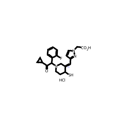 Cl.O=C(O)Cn1ccc(/C=C2\CN(C(C(=O)C3CC3)c3ccccc3F)CCC2S)n1